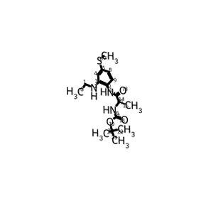 CCNc1cc(SC)ccc1NC(=O)[C@@H](C)NC(=O)OC(C)(C)C